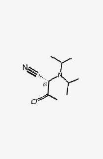 CC(=O)[C@H](C#N)N(C(C)C)C(C)C